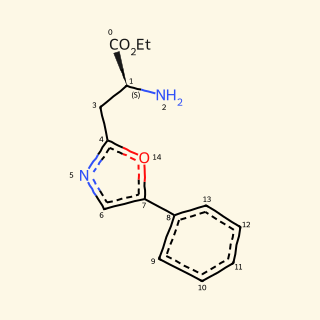 CCOC(=O)[C@@H](N)Cc1ncc(-c2ccccc2)o1